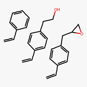 C=Cc1ccc(CC2CO2)cc1.C=Cc1ccc(CCO)cc1.C=Cc1ccccc1